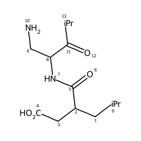 CC(C)CC(CC(=O)O)C(=O)NC(CN)C(=O)C(C)C